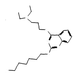 CCN(CC)CCCNc1nc(NCCCCCCN)nc2ccccc12.Cl